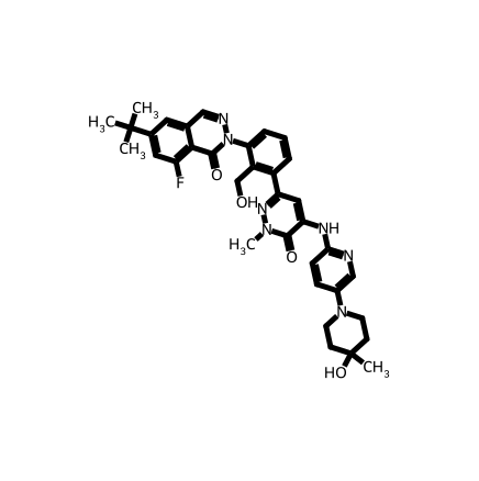 Cn1nc(-c2cccc(-n3ncc4cc(C(C)(C)C)cc(F)c4c3=O)c2CO)cc(Nc2ccc(N3CCC(C)(O)CC3)cn2)c1=O